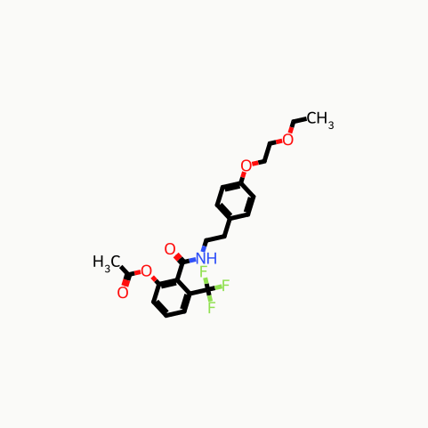 CCOCCOc1ccc(CCNC(=O)c2c(OC(C)=O)cccc2C(F)(F)F)cc1